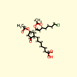 CC(=O)OC(=CCCCCCCl)[C@H]1[C@H](OC(C)=O)CC(=O)[C@@H]1CCCCCCC(=O)O